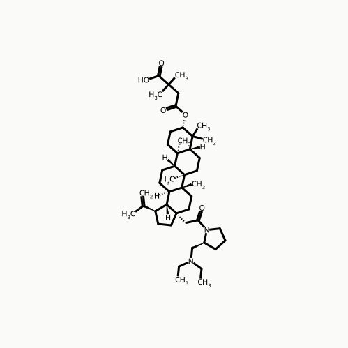 C=C(C)[C@@H]1CC[C@]2(CC(=O)N3CCC[C@H]3CN(CC)CC)CC[C@]3(C)[C@H](CC[C@@H]4[C@@]5(C)CC[C@H](OC(=O)CC(C)(C)C(=O)O)C(C)(C)[C@@H]5CC[C@]43C)[C@@H]12